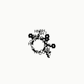 CCCC[C@H](NC(C)=O)C(=O)N[C@H]1CCC(=O)NCCCCCCNC(=O)[C@H](Cc2c[nH]c3ccccc23)NC(=O)[C@H](CCCNC(=N)N)NC(=O)[C@@H](Cc2cccc3ccccc23)NC(=O)C2CC(OCc3ccccc3)CN2C1=O